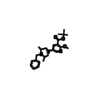 COc1ncc(N2CC(C)N(Cc3ccccc3)C(C)C2)cc1C(=O)OC(C)(C)C